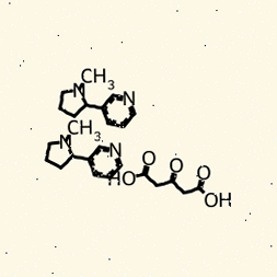 CN1CCCC1c1cccnc1.CN1CCCC1c1cccnc1.O=C(O)CC(=O)CC(=O)O